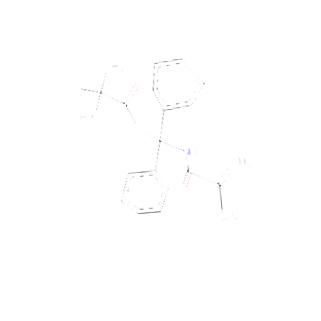 C=C(C)C(=O)NC(OC(=O)C(C)(C)C)(c1ccccc1)c1ccccc1